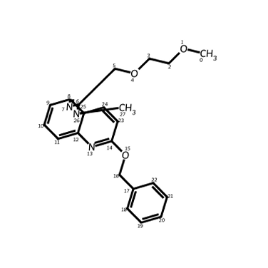 COCCOCC1N=C2C=CC=C3N=C(OCc4ccccc4)C=CC32N1C